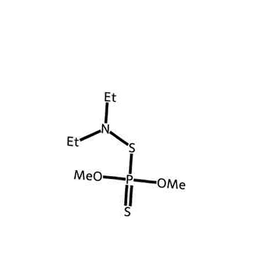 CCN(CC)SP(=S)(OC)OC